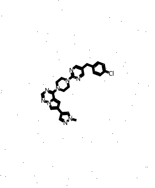 Cn1cc(-c2cc3c(N4CCN(c5ncc(Cc6ccc(Cl)cc6)cn5)CC4)ncnn3c2)cn1